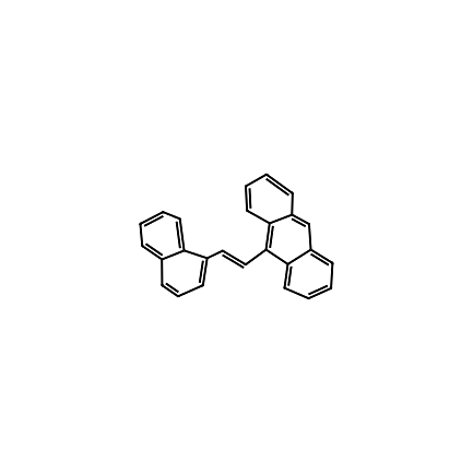 C(=Cc1c2ccccc2cc2ccccc12)c1cccc2ccccc12